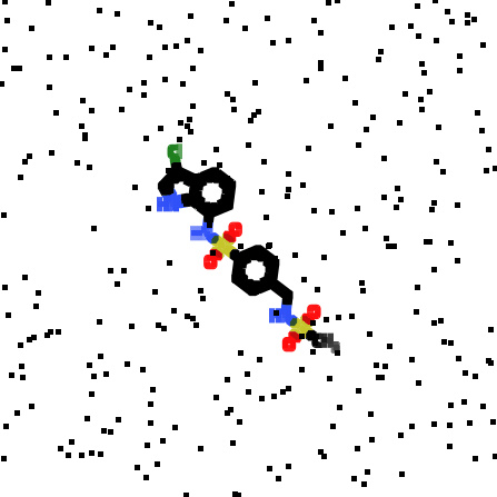 CS(=O)(=O)NCc1ccc(S(=O)(=O)Nc2cccc3c(Cl)c[nH]c23)cc1